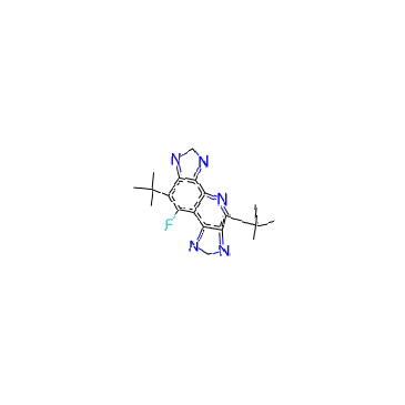 CC(C)(C)c1c(F)c2c3c(c(C(C)(C)C)nc2c2c1=NCN=2)=NCN=3